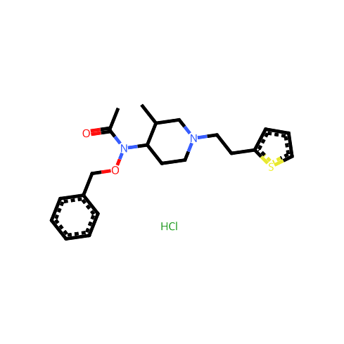 CC(=O)N(OCc1ccccc1)C1CCN(CCc2cccs2)CC1C.Cl